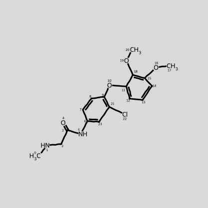 CNCC(=O)Nc1ccc(Oc2cccc(OC)c2OC)c(Cl)c1